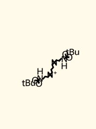 CC(C)(C)OC(=O)NCCC[N+](C)(C)CCCC[N+](C)(C)CCCNC(=O)OC(C)(C)C